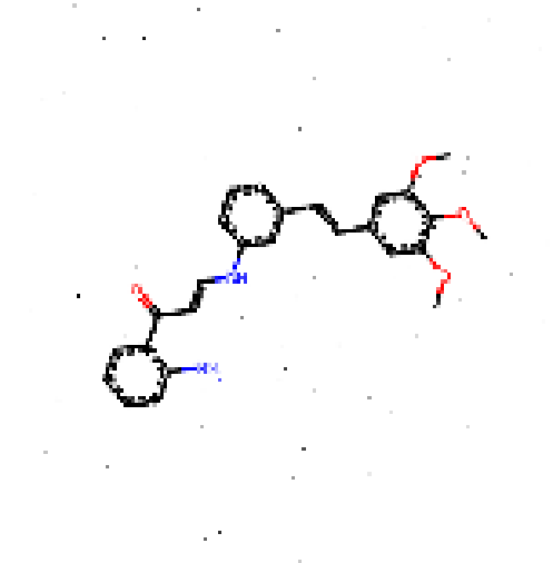 COc1cc(C=Cc2cccc(NC=CC(=O)c3ccccc3N)c2)cc(OC)c1OC